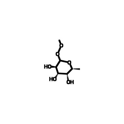 COOC1O[C@H](C)[C@H](O)[C@H](O)[C@H]1O